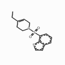 CCC1=CCN(S(=O)(=O)c2cccc3ccsc23)CC1